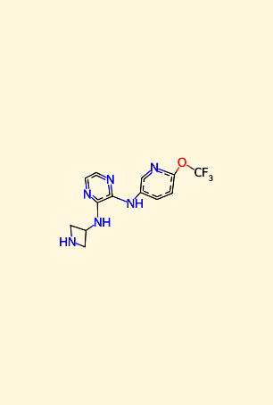 FC(F)(F)Oc1ccc(Nc2nccnc2NC2CNC2)cn1